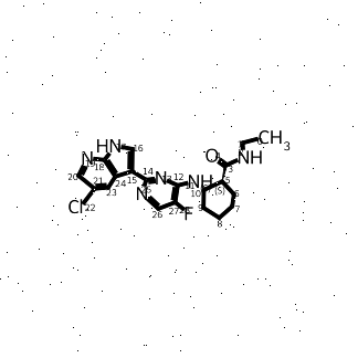 CCNC(=O)[C@H]1CCCC[C@@H]1Nc1nc(-c2c[nH]c3ncc(Cl)cc23)ncc1F